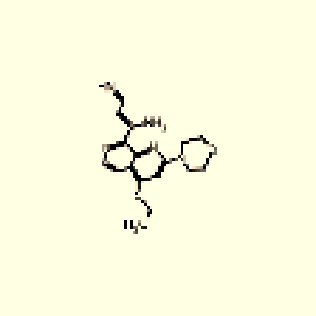 CCSc1cc(N2CCOCC2)nc2c(/C(N)=C/C=N)nccc12